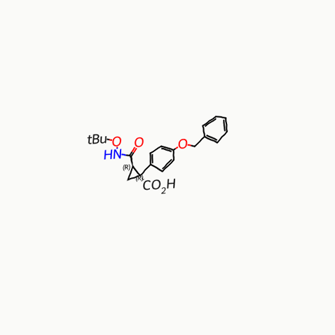 CC(C)(C)ONC(=O)[C@@H]1C[C@]1(C(=O)O)c1ccc(OCc2ccccc2)cc1